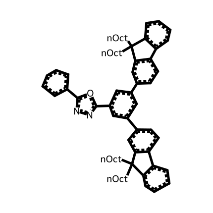 CCCCCCCCC1(CCCCCCCC)c2ccccc2-c2ccc(-c3cc(-c4ccc5c(c4)C(CCCCCCCC)(CCCCCCCC)c4ccccc4-5)cc(-c4nnc(-c5ccccc5)o4)c3)cc21